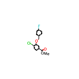 COC(=O)c1ccc(Cl)c(OCc2ccc(F)cc2)c1